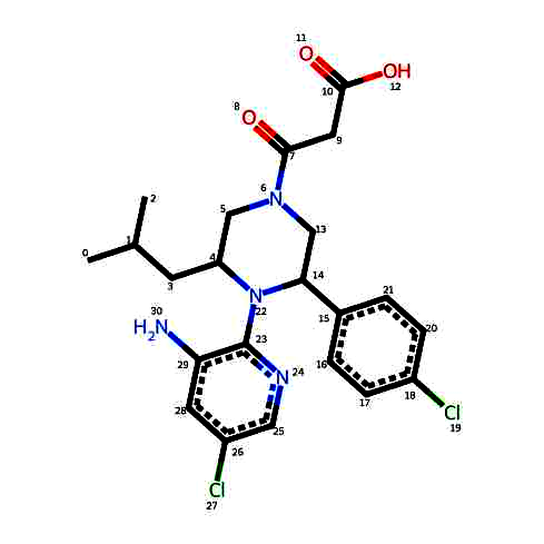 CC(C)CC1CN(C(=O)CC(=O)O)CC(c2ccc(Cl)cc2)N1c1ncc(Cl)cc1N